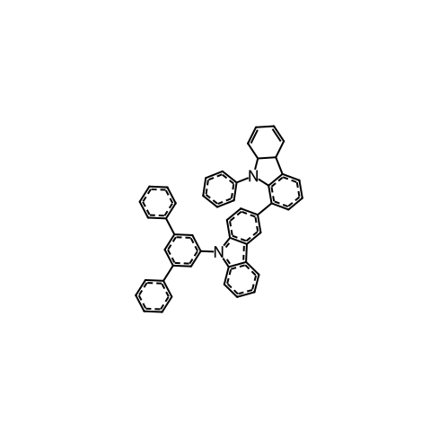 C1=CC2c3cccc(-c4ccc5c(c4)c4ccccc4n5-c4cc(-c5ccccc5)cc(-c5ccccc5)c4)c3N(c3ccccc3)C2C=C1